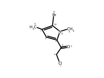 Cc1cc(C(=O)CCl)n(C)c1Br